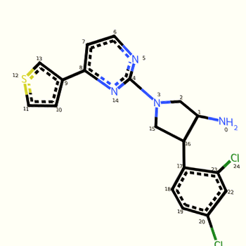 NC1CN(c2nccc(-c3ccsc3)n2)CC1c1ccc(Cl)cc1Cl